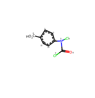 O=C(O)c1ccc(N(Cl)C(=O)Cl)cc1